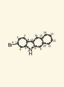 Brc1ccc2c(c1)[nH]c1cc3ccccc3cc12